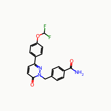 NC(=O)c1ccc(Cn2nc(-c3ccc(OC(F)F)cc3)ccc2=O)cc1